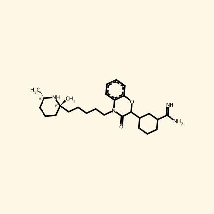 C[C@H]1CCC[C@@](C)(CCCCCN2C(=O)C(C3CCCC(C(=N)N)C3)Oc3ccccc32)N1